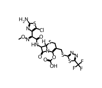 CON=C(C(=O)NC1C(=O)N2C(OC(=O)O)=C(CSc3nnc(C(F)(F)F)s3)CS[C@@H]12)c1nc(N)sc1Cl